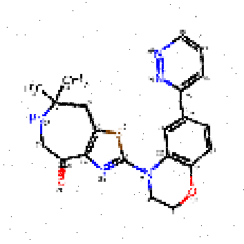 CC1(C)Cc2sc(N3CCOc4ccc(-c5cccnn5)cc43)nc2C(=O)CN1